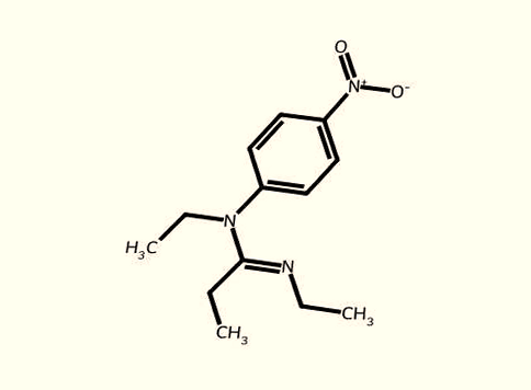 CCN=C(CC)N(CC)c1ccc([N+](=O)[O-])cc1